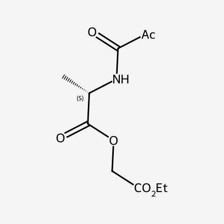 CCOC(=O)COC(=O)[C@H](C)NC(=O)C(C)=O